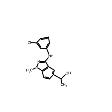 CC(O)c1ccc2c(c1)c(Nc1cccc(Cl)c1)nn2C